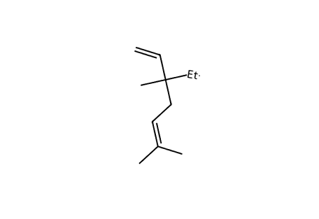 C=CC(C)([CH]C)CC=C(C)C